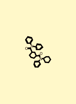 O=C(C1CCCC(C(=O)N(c2ccccc2)C2CCCCC2)C1)N(c1ccccc1)c1ccccc1